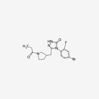 CCC(=O)N1CCC(Cc2n[nH]c(=O)n2-c2ccc(Br)cc2F)C1